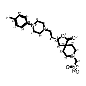 O=C1O[C@H](CCN2CCN(c3ccc(I)cc3)CC2)CC12CCN(C[SH](=O)=O)CC2